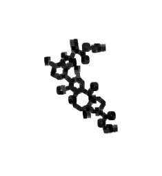 CC(C)(C)OC(=O)Nc1nc2c(-c3c(F)cc4c(c3Cl)OCC[C@H]3CN(C(=O)OC(C)(C)C)CCN3C4=O)ccc(F)c2s1